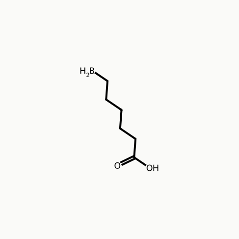 BCCCCCC(=O)O